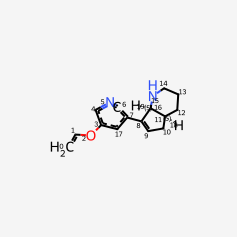 C=COc1cncc(C2=CC[C@@H]3CCCN[C@H]23)c1